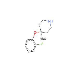 COC1(Oc2ccccc2F)CCNCC1